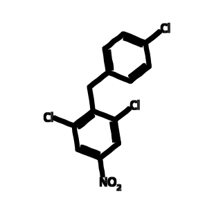 O=[N+]([O-])c1cc(Cl)c(Cc2ccc(Cl)cc2)c(Cl)c1